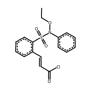 CCON(c1ccccc1)S(=O)(=O)c1ccccc1C=CC(=O)Cl